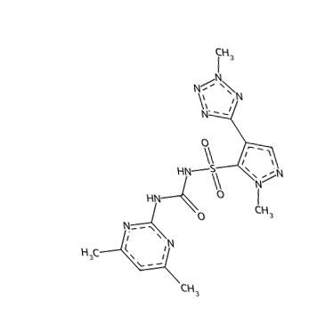 Cc1cc(C)nc(NC(=O)NS(=O)(=O)c2c(-c3nnn(C)n3)cnn2C)n1